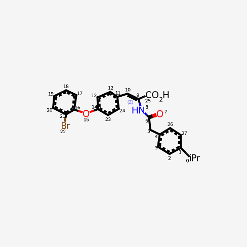 CC(C)c1ccc(CC(=O)N/C(=C\c2ccc(Oc3ccccc3Br)cc2)C(=O)O)cc1